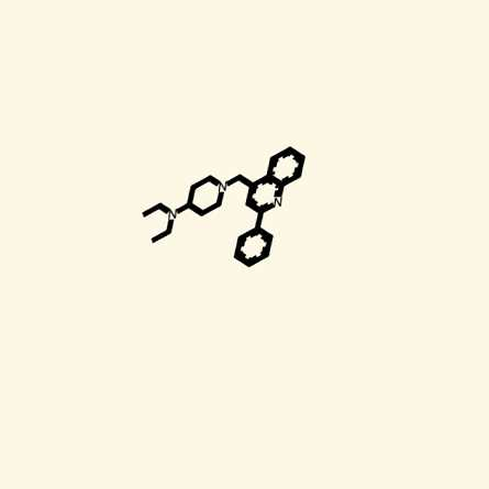 CCN(CC)C1CCN(Cc2cc(-c3ccccc3)nc3ccccc23)CC1